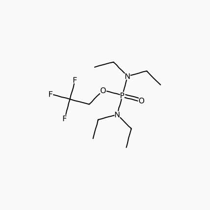 CCN(CC)P(=O)(OCC(F)(F)F)N(CC)CC